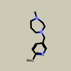 COc1ccc(CN2CCCN(C)CC2)cn1